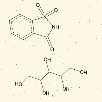 O=C1NS(=O)(=O)c2ccccc21.OCC(O)C(O)C(O)CO